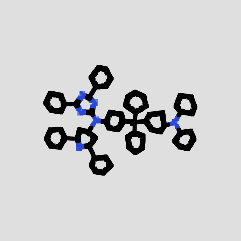 c1ccc(-c2cc(N(c3ccc([Si](c4ccccc4)(c4ccccc4)c4ccc(N(c5ccccc5)c5ccccc5)cc4)cc3)c3nc(-c4ccccc4)nc(-c4ccccc4)n3)cc(-c3ccccc3)n2)cc1